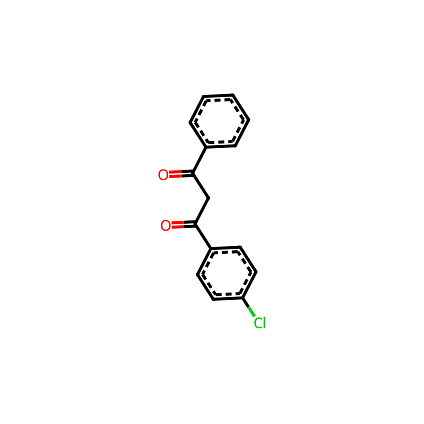 O=C(CC(=O)c1ccc(Cl)cc1)c1ccccc1